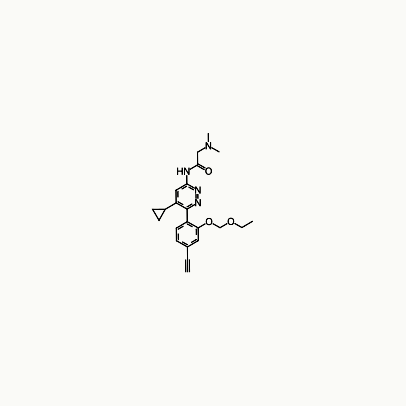 C#Cc1ccc(-c2nnc(NC(=O)CN(C)C)cc2C2CC2)c(OCOCC)c1